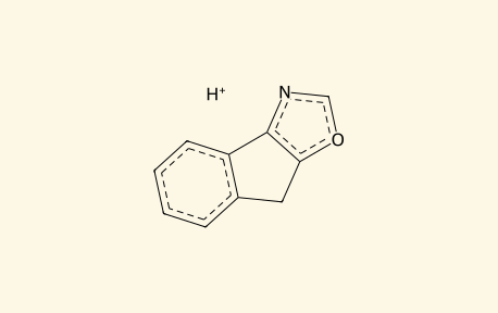 [H+].c1ccc2c(c1)Cc1ocnc1-2